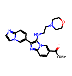 COC(=O)c1ccc2nc(-c3ccc4nccn4c3)c(NCCN3CCOCC3)n2c1